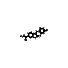 NC(=O)c1ccc2c(c1)CC(=O)N2Cc1ccc(F)cc1